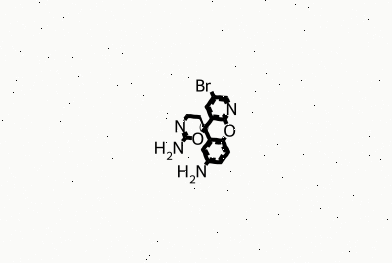 NC1=NCC[C@]2(O1)c1cc(N)ccc1Oc1ncc(Br)cc12